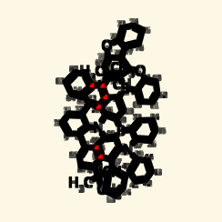 CC(C)(C)c1ccc(-c2cccc(-c3ccc(C(C)(C)C)cc3)c2N2c3cc4c(cc3B3c5ccccc5N(c5ccccc5)c5c3c2cc2oc3ccccc3c52)B2c3ccccc3Oc3c2c(cc2oc5ccccc5c32)N4c2ccccc2)cc1